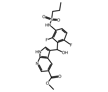 CCCS(=O)(=O)Nc1ccc(F)c(C(O)c2c[nH]c3ncc(C(=O)OC)cc23)c1F